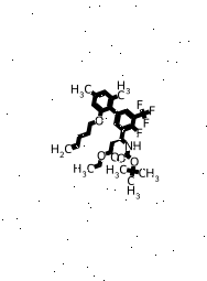 C=CCCCOc1cc(C)cc(C)c1-c1cc([C@H](CC(=O)OCC)NC(=O)OC(C)(C)C)c(F)c(C(F)(F)F)c1